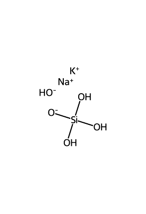 [K+].[Na+].[O-][Si](O)(O)O.[OH-]